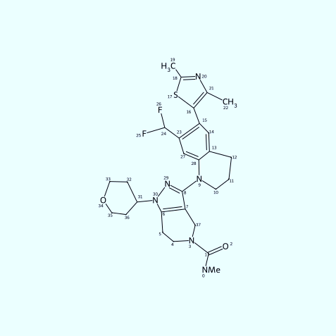 CNC(=O)N1CCc2c(c(N3CCCc4cc(-c5sc(C)nc5C)c(C(F)F)cc43)nn2C2CCOCC2)C1